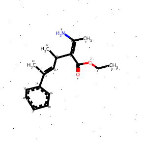 CCOC(=O)C(=C(C)N)C(C)C=C(C)c1ccccc1